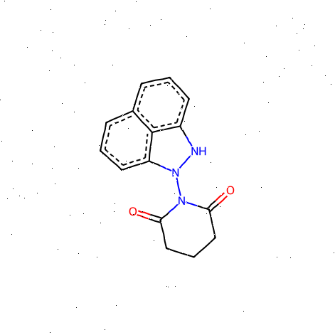 O=C1CCCC(=O)N1N1Nc2cccc3cccc1c23